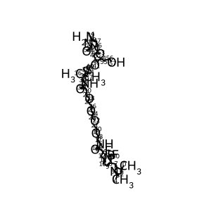 CC1=CC(C)=N/C1=C\c1ccc(CCC(=O)NCCOCCOCCOCCOCCC(=O)NCC(C)(C)SSCO[C@@H]2C[C@H](n3ccc(N)nc3=O)OC2CCO)n1B(F)F